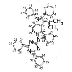 CC1(C)c2ccccc2-c2c1c1c3c4ccccc4n(-c4nc(-c5ccccc5)nc(-c5ccccc5)n4)c3ccc1n2-c1ccccc1